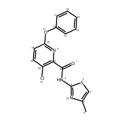 Cc1csc(NC(=O)c2nc(Oc3ccccc3)ccc2Cl)n1